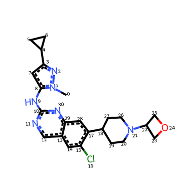 Cn1nc(C2CC2)cc1Nc1ncc2cc(Cl)c(C3CCN(C4COC4)CC3)cc2n1